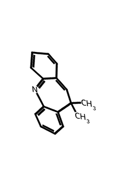 CC1(C)C=c2ccccc2=Nc2ccccc21